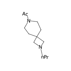 CCCN1CC2(CCN(C(C)=O)CC2)C1